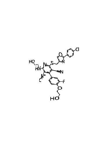 [C-]#[N+]c1c(NCCO)nc(SCc2coc(-c3ccc(Cl)cc3)n2)c(C#N)c1-c1ccc(OCCO)c(F)c1